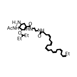 CC/C=C\C/C=C\C/C=C\C/C=C\C/C=C\C/C=C\CCC(=O)NCCNC(=O)C1=C[C@@H](OC(CC)CC)[C@H](NC(C)=O)[C@@H](N)C1